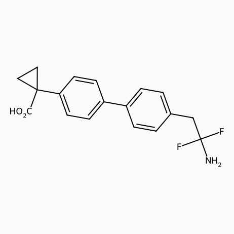 NC(F)(F)Cc1ccc(-c2ccc(C3(C(=O)O)CC3)cc2)cc1